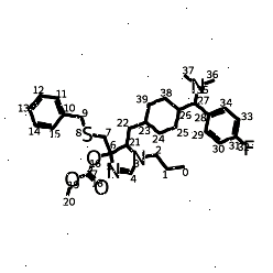 CCCN1C=NC(CSCc2ccccc2)(OC(=O)OC)C1CC1CCC(C(c2ccc(F)cc2)N(C)C)CC1